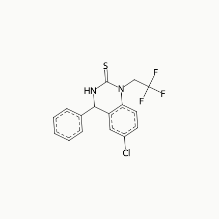 FC(F)(F)CN1C(=S)NC(c2ccccc2)c2cc(Cl)ccc21